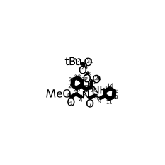 COC(=O)CCNC(=O)[C@H](Cc1ccccc1)NC(Cc1ccccc1)C(=O)OCOC(=O)C(C)(C)C